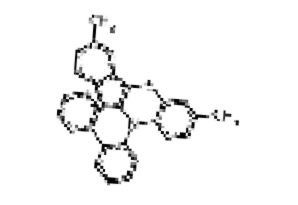 Cc1ccc2c(c1)Sc1c(oc3ccc(C)cc13)N2c1ccccc1-c1ccccc1